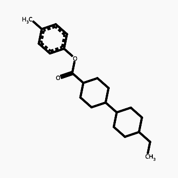 CCC1CCC(C2CCC(C(=O)Oc3ccc(C)cc3)CC2)CC1